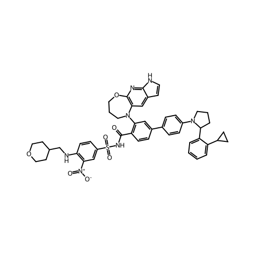 O=C(NS(=O)(=O)c1ccc(NCC2CCOCC2)c([N+](=O)[O-])c1)c1ccc(-c2ccc(N3CCCC3c3ccccc3C3CC3)cc2)cc1N1CCCOc2nc3[nH]ccc3cc21